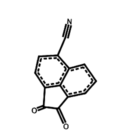 N#Cc1ccc2c3c(cccc13)C(=O)C2=O